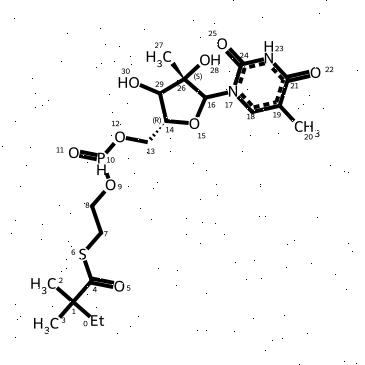 CCC(C)(C)C(=O)SCCO[PH](=O)OC[C@H]1OC(n2cc(C)c(=O)[nH]c2=O)[C@@](C)(O)C1O